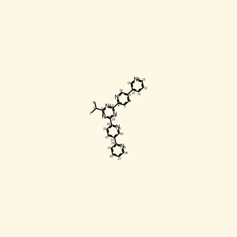 CC(C)c1nc(-c2ccc(-c3cccnc3)cn2)nc(-c2ccc(-c3ccccn3)cn2)n1